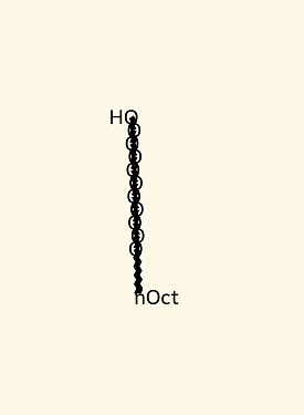 CCCCCCCCC=CCCCCCCCCOCCOCCOCCOCCOCCOCCOCCOCCOCCOCCO